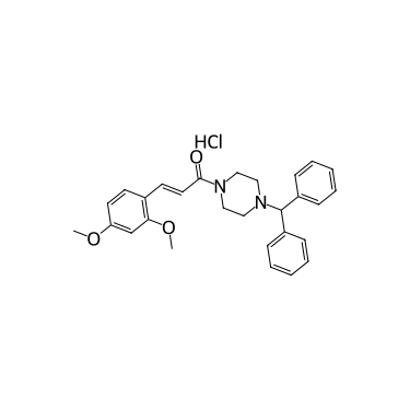 COc1ccc(/C=C/C(=O)N2CCN(C(c3ccccc3)c3ccccc3)CC2)c(OC)c1.Cl